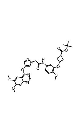 COc1cc2ncnc(Oc3cnn(CC(=O)Nc4ccc(OC)c(OC5CN(C(=O)OC(C)(C)C)C5)c4)c3)c2cc1OC